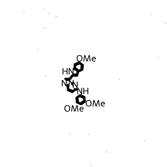 COc1ccc2cc(-c3cnc4ccc(Nc5ccc(OC)c(OC)c5)nn34)[nH]c2c1